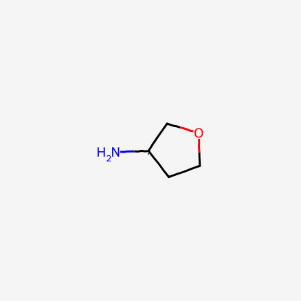 N[C]1CCOC1